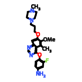 COc1c(OCCCN2CCN(C)CC2)cc2ncnc(Oc3ccc(N)cc3F)c2c1C